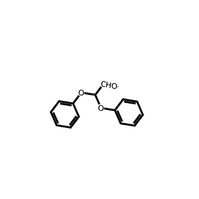 O=[C]C(Oc1ccccc1)Oc1ccccc1